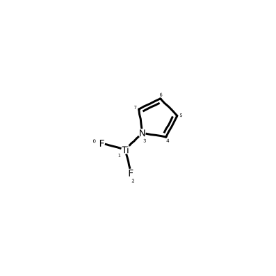 [F][Ti]([F])[n]1cccc1